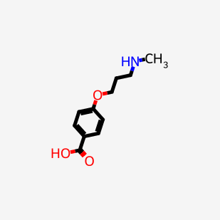 CNCCCOc1ccc(C(=O)O)cc1